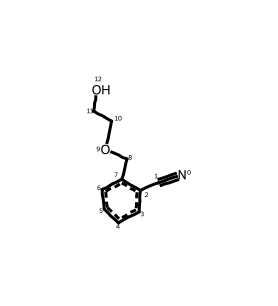 N#Cc1ccccc1COCCO